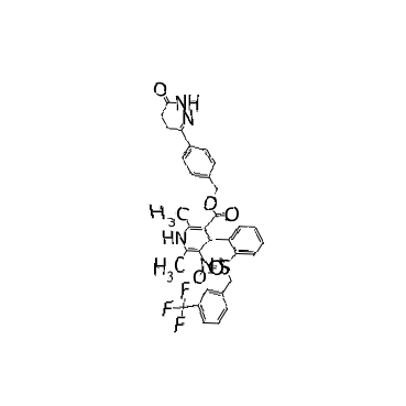 CC1=C(C(=O)OCc2ccc(C3=NNC(=O)CC3)cc2)C(c2ccccc2SCc2cccc(C(F)(F)F)c2)C([N+](=O)[O-])=C(C)N1